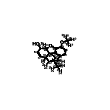 [2H]C([2H])([2H])Oc1ccc2c3c1OC1([2H])C(O)C=C[C@@H]4[C@@]31CCN(C([2H])([2H])[2H])[C@]4([2H])C2([2H])[2H]